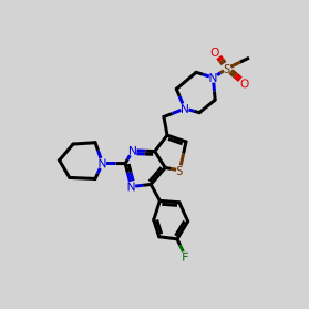 CS(=O)(=O)N1CCN(Cc2csc3c(-c4ccc(F)cc4)nc(N4CCCCC4)nc23)CC1